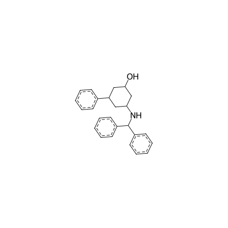 OC1CC(NC(c2ccccc2)c2ccccc2)CC(c2ccccc2)C1